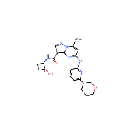 CNc1cc(Nc2cccc([C@@H]3CCCOC3)n2)nc2c(C(=O)N[C@@H]3CC[C@@H]3O)cnn12